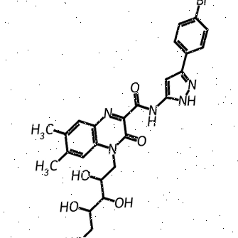 Cc1cc2nc(C(=O)Nc3cc(-c4ccc(Br)cc4)n[nH]3)c(=O)n(CC(O)C(O)C(O)CO)c2cc1C